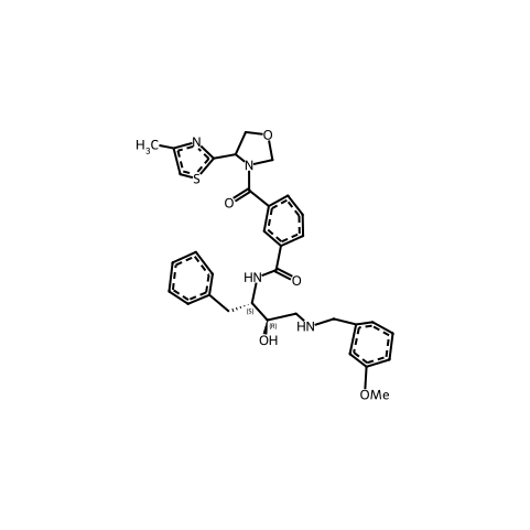 COc1cccc(CNC[C@@H](O)[C@H](Cc2ccccc2)NC(=O)c2cccc(C(=O)N3COCC3c3nc(C)cs3)c2)c1